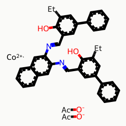 CC(=O)[O-].CC(=O)[O-].CCc1cc(-c2ccccc2)cc(C=Nc2cc3ccccc3cc2N=Cc2cc(-c3ccccc3)cc(CC)c2O)c1O.[Co+2]